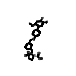 COc1cc(F)c(F)cc1-c1ccc(OCc2cccc(CN3[C@H](C(=O)O)CCS3(=O)=O)c2)cc1